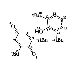 CC(C)(C)C1=CC(=O)C=C(C(C)(C)C)C1=O.CC(C)(C)c1cccc(C(C)(C)C)c1O